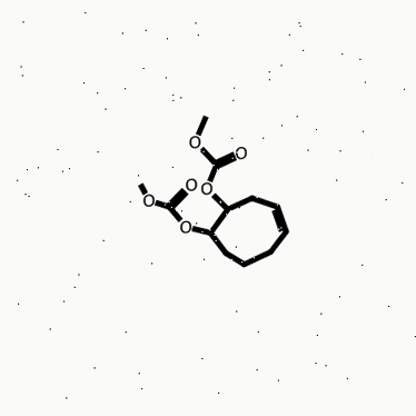 COC(=O)OC1C/C=C\CCCC1OC(=O)OC